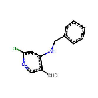 O=Cc1cnc(Cl)cc1NCc1ccccc1